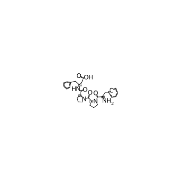 N[C@H](Cc1ccccc1)C(=O)N1CCC[C@H]1C(=O)N1CCC[C@H]1C(=O)N[C@H](CC(=O)O)Cc1ccccc1